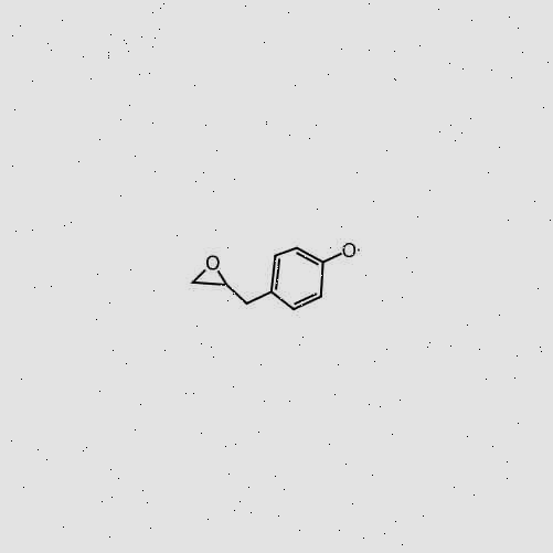 [O]c1ccc(CC2CO2)cc1